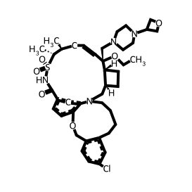 CCO[C@@]1(CN2CCN(C3COC3)CC2)/C=C/C[C@H](C)[C@@H](C)S(=O)(=O)NC(=O)c2ccc3c(c2)N(CCCCc2cc(Cl)ccc2CO3)C[C@@H]2CC[C@H]21